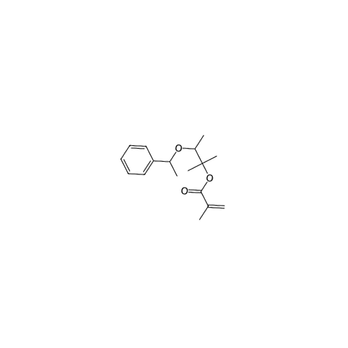 C=C(C)C(=O)OC(C)(C)C(C)OC(C)c1ccccc1